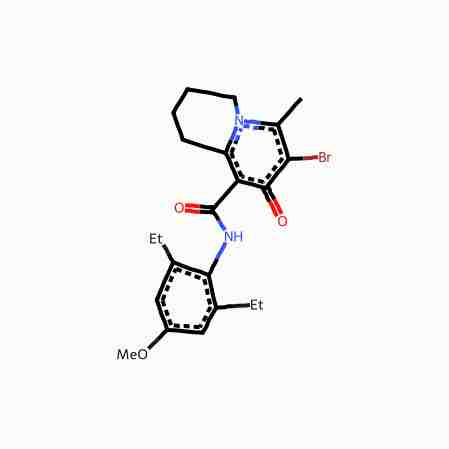 CCc1cc(OC)cc(CC)c1NC(=O)c1c2n(c(C)c(Br)c1=O)CCCC2